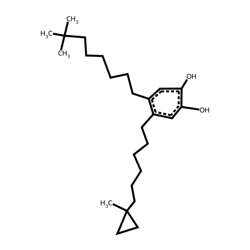 CC(C)(C)CCCCCCc1cc(O)c(O)cc1CCCCCCC1(C)CC1